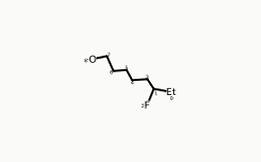 CCC(F)CCCCC[O]